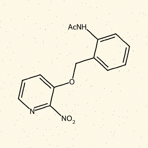 CC(=O)Nc1ccccc1COc1cccnc1[N+](=O)[O-]